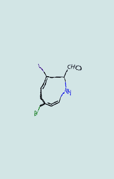 O=CC1NC=C(Br)C=C1I